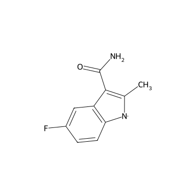 CC1=C(C(N)=O)c2cc(F)ccc2[N]1